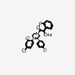 O=C(C(O)c1ccccc1F)N1CCN(c2ccc(Cl)cc2Cl)[C@H](c2ccc(Cl)cc2)C1